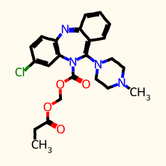 CCC(=O)OCOC(=O)N1C(N2CCN(C)CC2)=c2ccccc2=Nc2ccc(Cl)cc21